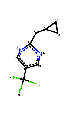 FC(F)(F)c1cnc(CC2CC2)nc1